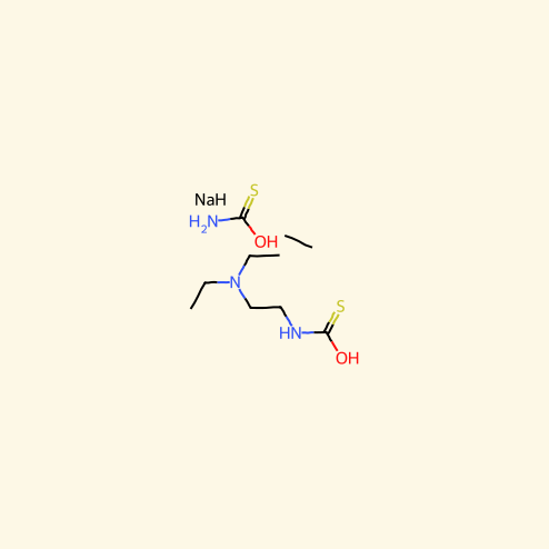 CC.CCN(CC)CCNC(O)=S.NC(O)=S.[NaH]